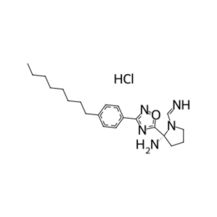 CCCCCCCCc1ccc(-c2noc([C@]3(N)CCCN3C=N)n2)cc1.Cl